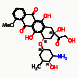 COc1cccc2c1C(=O)c1c(O)c3c(c(O)c1C2=O)C[C@@](O)(C(=O)CO)C[C@@H]3O[C@@H]1CC(C)[C@@H](O)C(N)C1